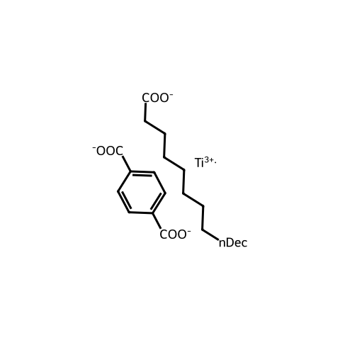 CCCCCCCCCCCCCCCCCC(=O)[O-].O=C([O-])c1ccc(C(=O)[O-])cc1.[Ti+3]